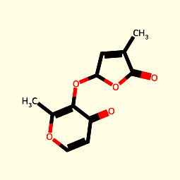 CC1=CC(Oc2c(C)occc2=O)OC1=O